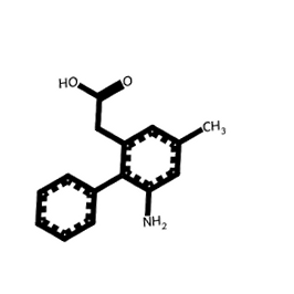 Cc1cc(N)c(-c2ccccc2)c(CC(=O)O)c1